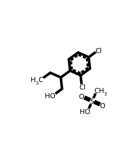 CCC(CO)c1ccc(Cl)cc1Cl.CS(=O)(=O)O